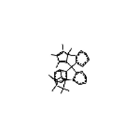 CC1=C(C)C(C)(C)C(c2ccccc2C(C2=C(C)C(C)=C(C)C2(C)C)(c2ccccc2)c2ccccc2)=C1C